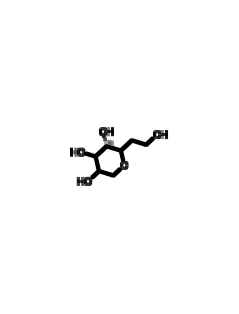 OCCC1OCC(O)C(O)[C@@H]1O